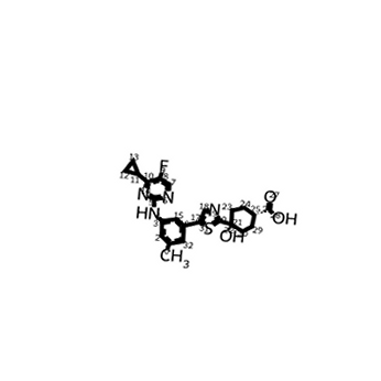 Cc1cc(Nc2ncc(F)c(C3CC3)n2)cc(-c2cnc([C@]3(O)CC[C@H](C(=O)O)CC3)s2)c1